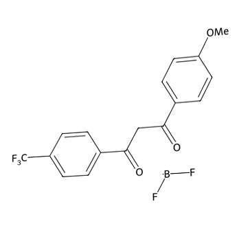 COc1ccc(C(=O)CC(=O)c2ccc(C(F)(F)F)cc2)cc1.F[B]F